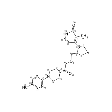 Cc1c(N2CCC[C@H]2COCC(=O)N2CCN(c3ccc(C#N)cn3)CC2)cn[nH]c1=O